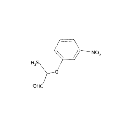 O=[C]C([SiH3])Oc1cccc([N+](=O)[O-])c1